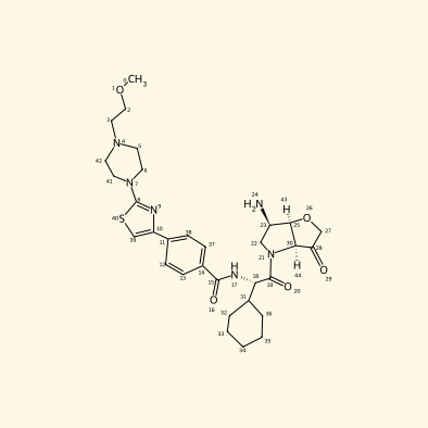 COCCN1CCN(c2nc(-c3ccc(C(=O)N[C@H](C(=O)N4C[C@@H](N)[C@H]5OCC(=O)[C@H]54)C4CCCCC4)cc3)cs2)CC1